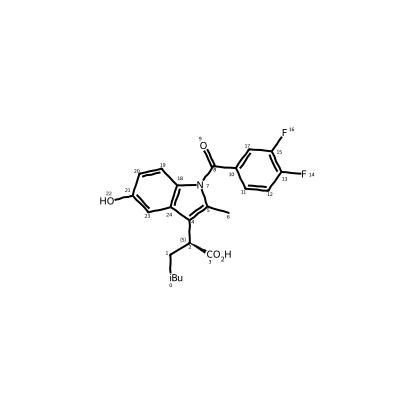 CCC(C)C[C@H](C(=O)O)c1c(C)n(C(=O)c2ccc(F)c(F)c2)c2ccc(O)cc12